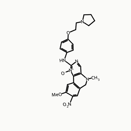 COc1cc2c(cc1[N+](=O)[O-])CN(C)c1cnc(Nc3ccc(OCCN4CCCC4)cc3)[n+]([O-])c1-2